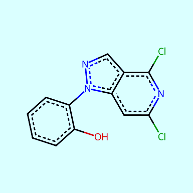 Oc1ccccc1-n1ncc2c(Cl)nc(Cl)cc21